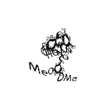 CCO.COc1cc(/C=C/C(=O)N(O)c2cnc3c(C)cc(C)cc3c2-c2ccccc2Cl)cc(OC)c1